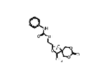 C=C(OCCNC(=O)Nc1ccccc1)C1(C)COC(=O)OC1